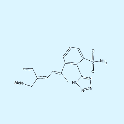 C=C/C(=C\C=C(/C)c1cccc(S(N)(=O)=O)c1-c1nnn[nH]1)CNC